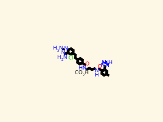 Cc1ccc(C(=O)NCCC[C@H](NC(=O)c2ccc(CCc3ccc4nc(N)nc(N)c4c3Cl)cc2)C(=O)O)c(-c2nn[nH]n2)c1